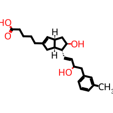 Cc1cccc(C[C@@H](O)/C=C/[C@@H]2[C@H]3CC(CCCCC(=O)O)=C[C@H]3C[C@H]2O)c1